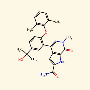 Cc1cccc(C)c1Oc1ccc(C(C)(C)O)cc1-c1cn(C)c(=O)c2[nH]c(C(N)=O)cc12